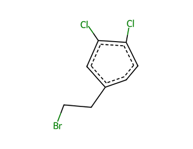 Clc1ccc(CCBr)cc1Cl